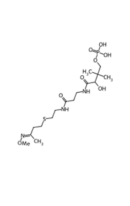 CO/N=C(\C)CCSCCNC(=O)CCNC(=O)C(O)C(C)(C)COP(=O)(O)O